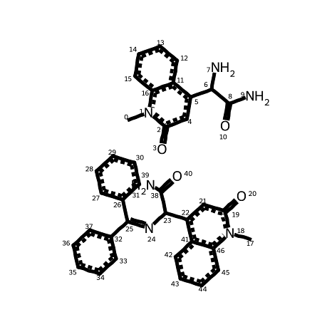 Cn1c(=O)cc(C(N)C(N)=O)c2ccccc21.Cn1c(=O)cc(C(N=C(c2ccccc2)c2ccccc2)C(N)=O)c2ccccc21